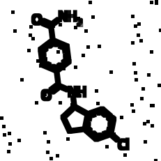 NC(=O)c1ccc(C(=O)NC2CCc3cc(Cl)ccc32)cc1